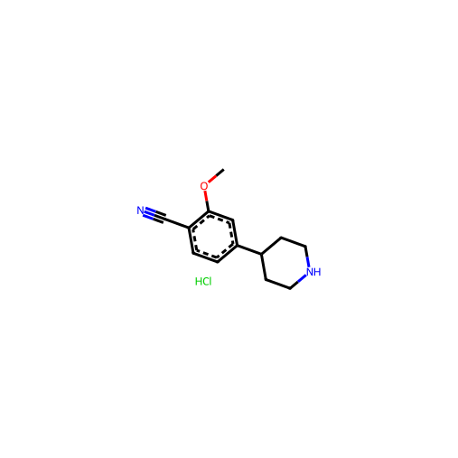 COc1cc(C2CCNCC2)ccc1C#N.Cl